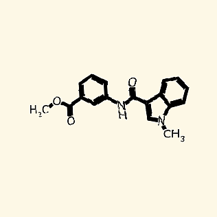 COC(=O)c1cccc(NC(=O)c2cn(C)c3ccccc23)c1